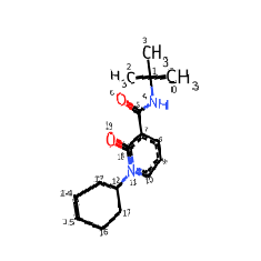 CC(C)(C)NC(=O)c1cccn(C2CCCCC2)c1=O